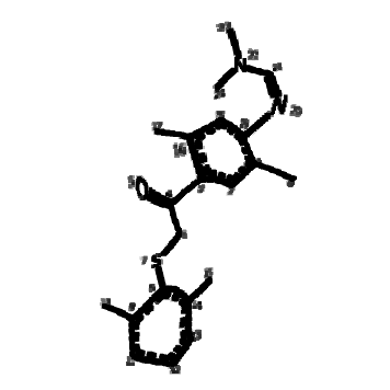 Cc1cc(C(=O)CSc2c(C)cccc2C)c(C)cc1/N=C\N(C)C